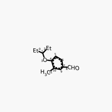 CCC(CC)Oc1ccc(C=O)cc1C